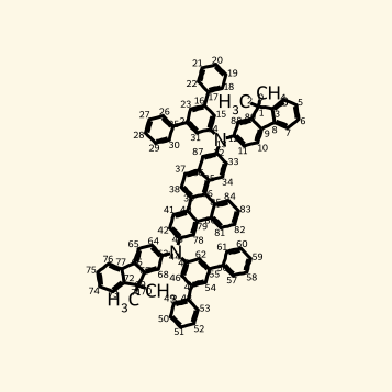 CC1(C)c2ccccc2-c2ccc(N(c3cc(-c4ccccc4)cc(-c4ccccc4)c3)c3ccc4c(ccc5c6ccc(N(c7cc(-c8ccccc8)cc(-c8ccccc8)c7)c7ccc8c(c7)C(C)(C)c7ccccc7-8)cc6c6ccccc6c45)c3)cc21